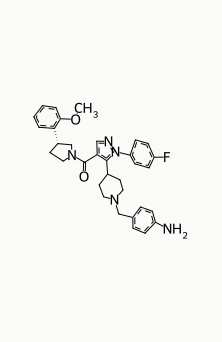 COc1ccccc1[C@H]1CCN(C(=O)c2cnn(-c3ccc(F)cc3)c2C2CCN(Cc3ccc(N)cc3)CC2)C1